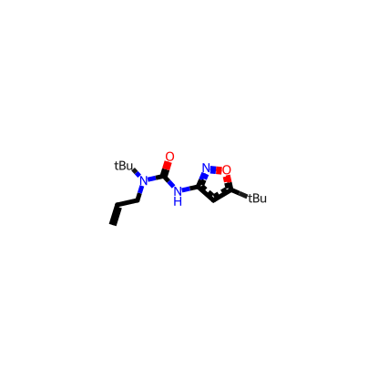 C=CCN(C(=O)Nc1cc(C(C)(C)C)on1)C(C)(C)C